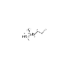 CCCC[SiH](Cl)[SiH](C)C